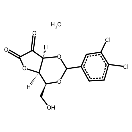 O.O=C1O[C@@H]2[C@H](CO)OC(c3ccc(Cl)c(Cl)c3)O[C@@H]2C1=O